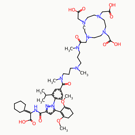 COC1=CCCC(OC)=C1c1cc(C(=O)NC(C(=O)O)=C2CCCCC2)nn1-c1ccc(C(=O)N(C)CCCN(C)CCCN(C)C(=O)CN2CCN(CC(=O)O)CCN(CC(=O)O)CCN(CC(=O)O)CC2)cc1C(C)C